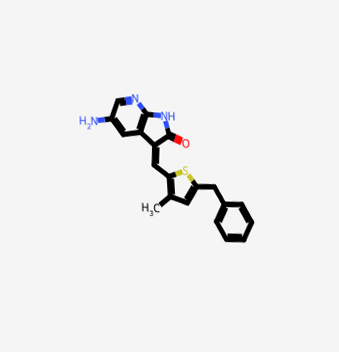 Cc1cc(Cc2ccccc2)sc1C=C1C(=O)Nc2ncc(N)cc21